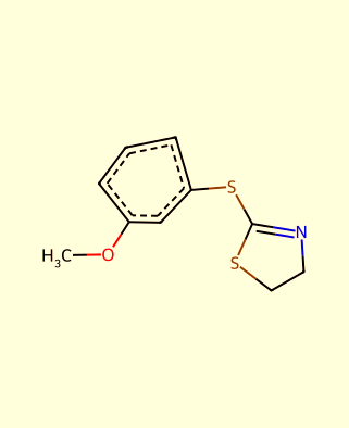 COc1cccc(SC2=NCCS2)c1